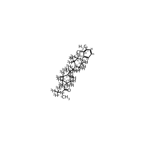 [2H]C([2H])([2H])N(C)C(=O)N[C@]1([2H])C([2H])([2H])C([2H])([2H])[C@@]([2H])(C([2H])([2H])C([2H])([2H])N2C([2H])([2H])C([2H])([2H])N(c3cccc(C)c3Cl)C([2H])([2H])C2([2H])[2H])C([2H])([2H])C1([2H])[2H]